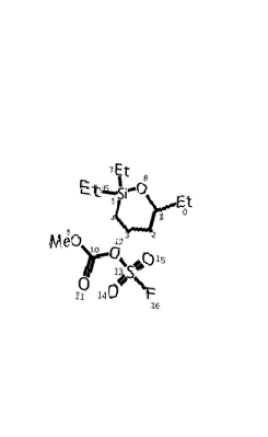 CCC1CCC[Si](CC)(CC)O1.COC(=O)OS(=O)(=O)F